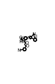 N#Cc1cccc(C(=O)CC(=O)Nc2cc(-n3cc(C#N)c(-c4ccccc4Cl)c3)ccc2[N+](=O)[O-])c1